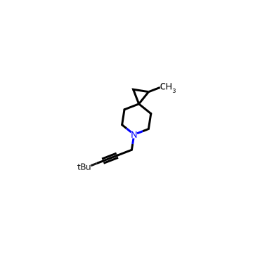 CC1CC12CCN(CC#CC(C)(C)C)CC2